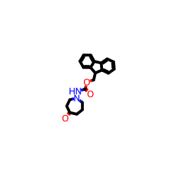 O=C1CCCN(NC(=O)OCC2c3ccccc3-c3ccccc32)CC1